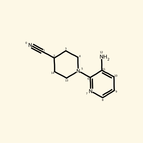 N#CC1CCN(c2ncccc2N)CC1